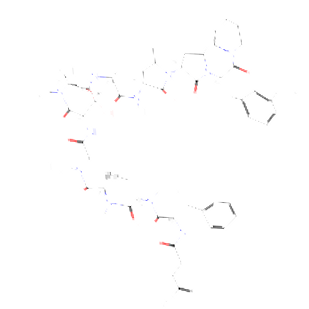 C=C(C)CCC(=O)N[C@@H](Cc1ccccc1)C(=O)N(C)[C@@H](CC(C)C)C(=O)N(C)[C@H](C(=O)N(C)CC(=O)N[C@H](C(=O)N(C)[C@@H](C)C(=O)N[C@@H](C)C(=O)N(C)[C@H]1CC(C)N([C@H]2CC(C)N([C@@H](Cc3cccc(C)c3)C(=O)N3CCCCC3)C2=O)C1=O)[C@@H](C)O)C(C)C